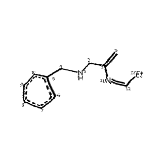 C=C(CNCc1ccccc1)/N=C\CC